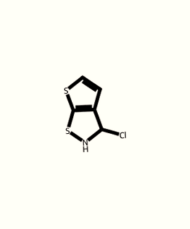 ClC1NSc2sccc21